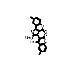 CCOC1Oc2c(c(=O)oc3ccc(C)cc23)C1c1c(O)c2cc(C)ccc2oc1=O